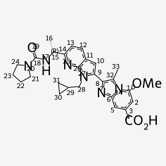 COc1cc(C(=O)O)cc2nc(-c3cc4ccc([C@@H](C)NC(=O)N5CCCC5)nc4n3CC3CC3)c(C)n12